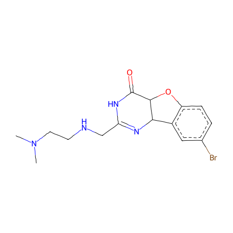 CN(C)CCNCC1=NC2c3cc(Br)ccc3OC2C(=O)N1